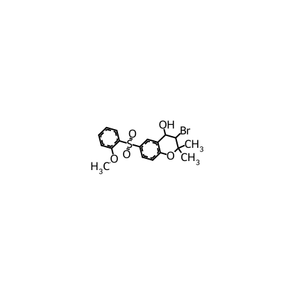 COc1ccccc1S(=O)(=O)c1ccc2c(c1)C(O)C(Br)C(C)(C)O2